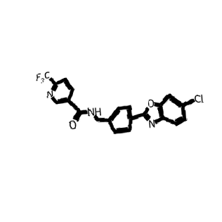 O=C(NCc1ccc(-c2nc3ccc(Cl)cc3o2)cc1)c1ccc(C(F)(F)F)nc1